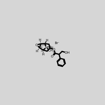 CCCC[N+]1(C)[C@H]2CC(OC(=O)C(CO)c3ccccc3)C[C@H]1[C@H]1O[C@H]12.[Br-]